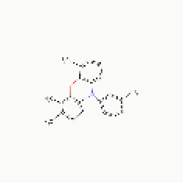 Cc1cccc(N2c3cccc(C)c3Oc3c2ccc(C)c3C)c1